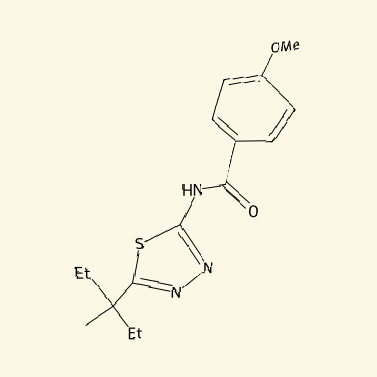 CCC(C)(CC)c1nnc(NC(=O)c2ccc(OC)cc2)s1